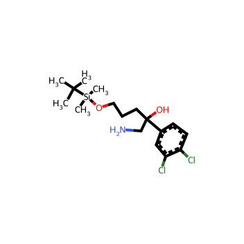 CC(C)(C)[Si](C)(C)OCCCC(O)(CN)c1ccc(Cl)c(Cl)c1